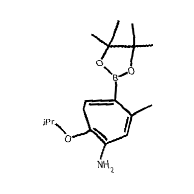 Cc1cc(N)c(OC(C)C)cc1B1OC(C)(C)C(C)(C)O1